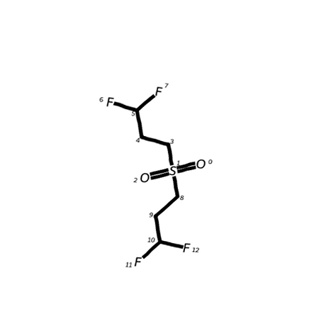 O=S(=O)(CCC(F)F)CCC(F)F